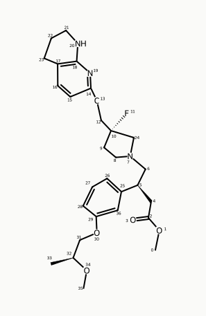 COC(=O)C[C@H](CN1CC[C@@](F)(CCc2ccc3c(n2)NCCC3)C1)c1cccc(OC[C@H](C)OC)c1